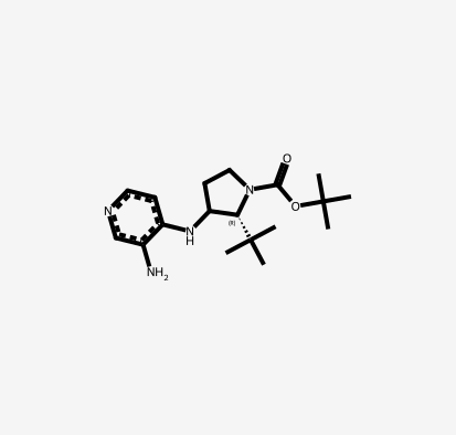 CC(C)(C)OC(=O)N1CCC(Nc2ccncc2N)[C@H]1C(C)(C)C